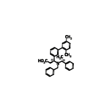 Cc1ccc(C)c(-c2cccc([C@H](CC(=O)O)N(Cc3ccccc3)[C@H](C)c3ccccc3)c2)c1